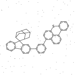 c1cc(-c2ccc3c(c2)C2(c4ccccc4-3)C3CC4CC(C3)CC2C4)cc(-c2ccc3c4c(cccc24)-c2ccccc2S3)c1